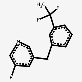 CC(F)(F)c1cccc([CH]c2cncc(F)c2)c1